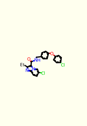 CCc1nc2ccc(Cl)cn2c1C(=O)NCc1ccc(Oc2ccc(Cl)cc2)cc1